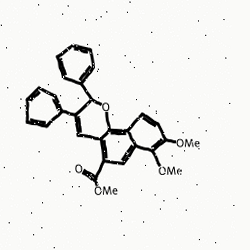 COC(=O)c1cc2c(OC)c(OC)ccc2c2c1C=C(c1ccccc1)C(c1ccccc1)O2